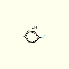 Fc1cc[c]cc1.[LiH]